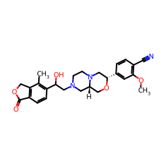 COc1cc([C@H]2CN3CCN(CC(O)c4ccc5c(c4C)COC5=O)C[C@H]3CO2)ccc1C#N